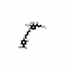 CCCC(=O)c1ccc(OCCCCCOc2ccc(C(=O)O)cc2Cl)c(C)c1O